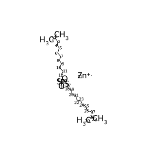 CC(C)CCCCCCCCCCOP([O-])(=S)SCCCCCCCCCCC(C)C.[Zn+]